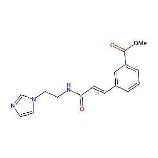 COC(=O)c1cccc(/C=C/C(=O)NCCn2ccnc2)c1